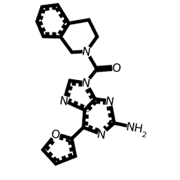 Nc1nc(-c2ccco2)c2ncn(C(=O)N3CCc4ccccc4C3)c2n1